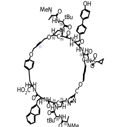 CN[C@@H](C)C(=O)N[C@H](C(=O)N1C[C@@H]2C[C@H]1C(=O)N[C@@H](Cc1ccc3ccccc3c1)C(=O)N[C@H](C(=O)O)Cc1ccc(cc1)OC/C=C/CO[C@H]1C[C@@H](C(=O)N[C@@H](Cc3ccc(-c4ccc(O)cc4)cc3)C(=O)N[C@H](C(=O)NS(=O)(=O)C3CC3)Cc3ccc(cc3)OCc3cn2nn3)N(C(=O)[C@@H](NC(=O)[C@H](C)NC)C(C)(C)C)C1)C(C)(C)C